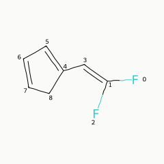 FC(F)=CC1=CC=CC1